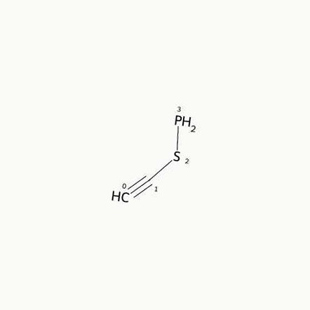 C#CSP